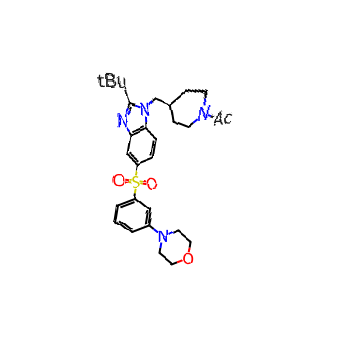 CC(=O)N1CCC(Cn2c(C(C)(C)C)nc3cc(S(=O)(=O)c4cccc(N5CCOCC5)c4)ccc32)CC1